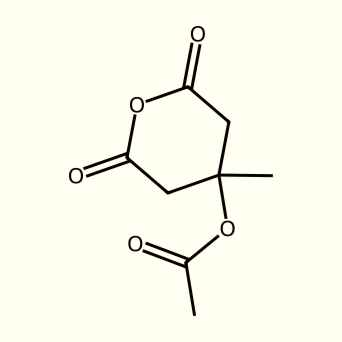 CC(=O)OC1(C)CC(=O)OC(=O)C1